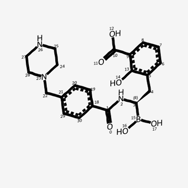 O=C(N[C@@H](Cc1cccc(C(=O)O)c1O)B(O)O)c1ccc(CN2CCNCC2)cc1